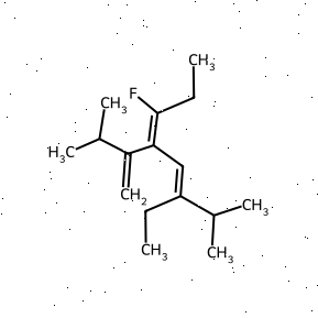 C=C(C(/C=C(\CC)C(C)C)=C(\F)CC)C(C)C